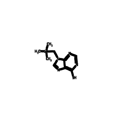 C[Si](C)(C)Cn1cnc2c(S)ncnc21